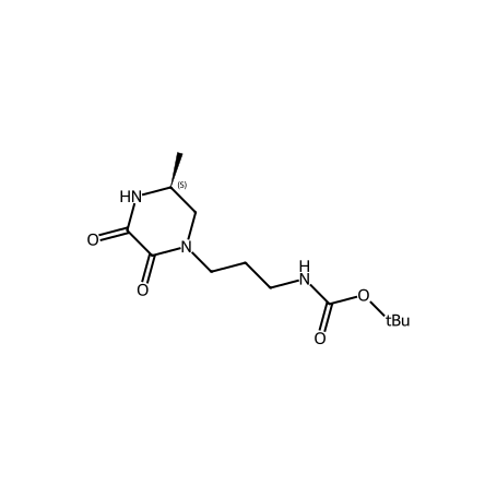 C[C@H]1CN(CCCNC(=O)OC(C)(C)C)C(=O)C(=O)N1